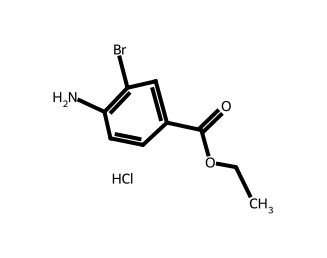 CCOC(=O)c1ccc(N)c(Br)c1.Cl